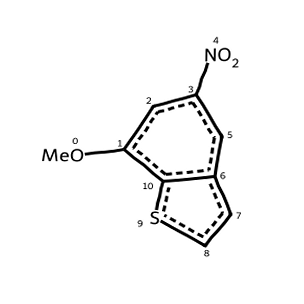 COc1cc([N+](=O)[O-])cc2ccsc12